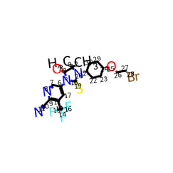 CC1(C)C(=O)N(c2cnc(C#N)c(C(F)(F)F)c2)C(=S)N1[C@H]1CC[C@H](OCCBr)CC1